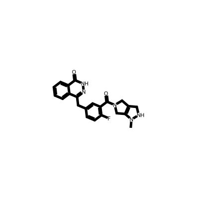 CN1NCC2=C1CN(C(=O)c1cc(Cc3n[nH]c(=O)c4ccccc34)ccc1F)C2